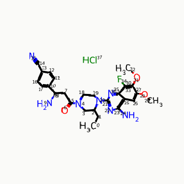 CCC1CN(C(=O)C[C@@H](N)c2ccc(C#N)cc2)CCN1c1nc(N)c2cc(OC)c(OC)c(F)c2n1.Cl